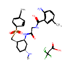 CSc1ccc(S(=O)(=O)C[C@@H]2CC[C@@H](NC(C)C)C[C@@H]2NC(=O)CNC(=O)c2cc(C(F)(F)F)ccc2N)cc1.O=C(O)C(F)(F)F